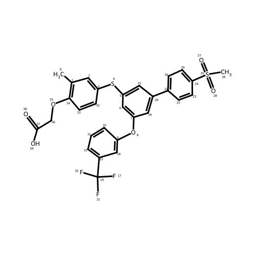 Cc1cc(Sc2cc(Oc3cccc(C(F)(F)F)c3)cc(-c3ccc(S(C)(=O)=O)cc3)c2)ccc1OCC(=O)O